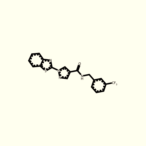 O=C(NCc1cccc(C(F)(F)F)c1)c1cnn(-c2nc3ccccc3s2)c1